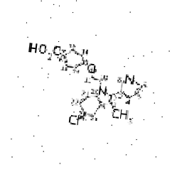 Cc1c(-c2cccnc2)n(CCOc2ccc(C(=O)O)cc2)c2ccc(Cl)cc12